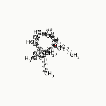 C=CCCCOC(=O)C[C@H]1C[C@H]2C[C@H]3CCC[C@@H](C[C@@H](O)CC(=O)O[C@@H](CO)CC4C/C(=C\C(=O)OC)[C@H](OC(=O)CCCCCCC)[C@@](O)(O4)C(C)(C)/C=C/[C@H](O2)O1)O3